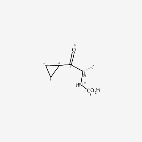 C[C@H](NC(=O)O)C(=O)C1CC1